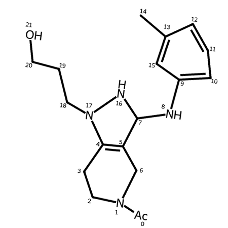 CC(=O)N1CCC2=C(C1)C(Nc1cccc(C)c1)NN2CCCO